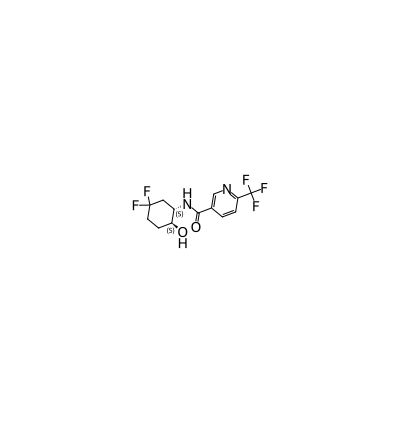 O=C(N[C@H]1CC(F)(F)CC[C@@H]1O)c1ccc(C(F)(F)F)nc1